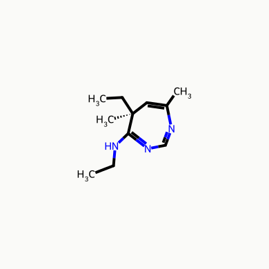 CCNC1=NC=NC(C)=C[C@]1(C)CC